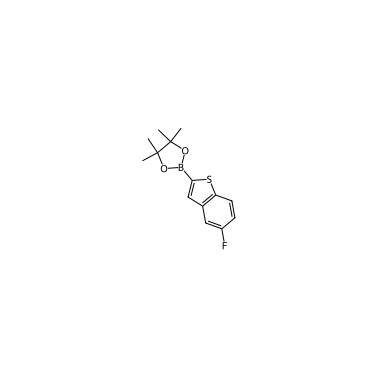 CC1(C)OB(c2cc3cc(F)ccc3s2)OC1(C)C